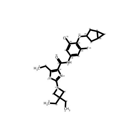 CCc1oc(N2CC(CC)(CC)C2)nc1C(=O)Nc1cc(F)c(OC2CC3CC3C2)c(Cl)c1